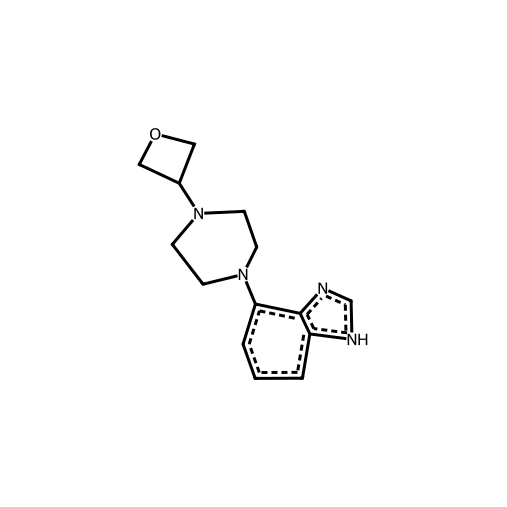 c1cc(N2CCN(C3COC3)CC2)c2nc[nH]c2c1